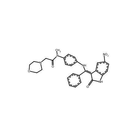 CN(C(=O)CN1CCOCC1)c1ccc(NC(=C2C(=O)Nc3ccc([N+](=O)[O-])cc32)c2ccccc2)cc1